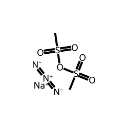 CS(=O)(=O)OS(C)(=O)=O.[N-]=[N+]=[N-].[Na+]